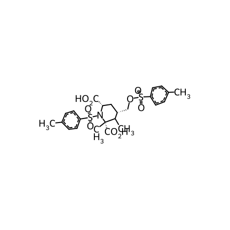 Cc1ccc(S(=O)(=O)OC[C@H]2C[C@@H](C(=O)O)N(S(=O)(=O)c3ccc(C)cc3)[C@@](C)(C(=O)O)C2C)cc1